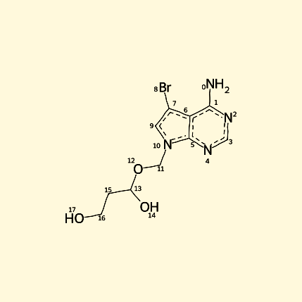 Nc1ncnc2c1c(Br)cn2COC(O)CCO